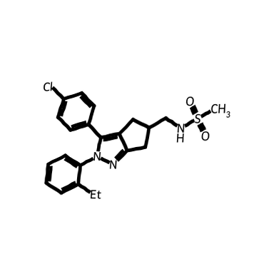 CCc1ccccc1-n1nc2c(c1-c1ccc(Cl)cc1)CC(CNS(C)(=O)=O)C2